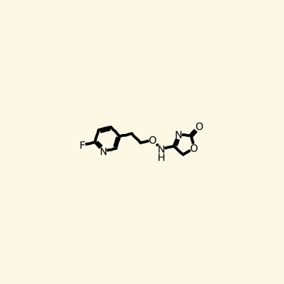 O=C1N=C(NOCCc2ccc(F)nc2)CO1